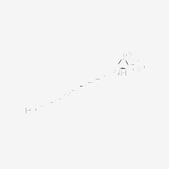 CCCCCCCCCCCCCCCCCCCCNc1ccc(O)c(C(=O)O)c1